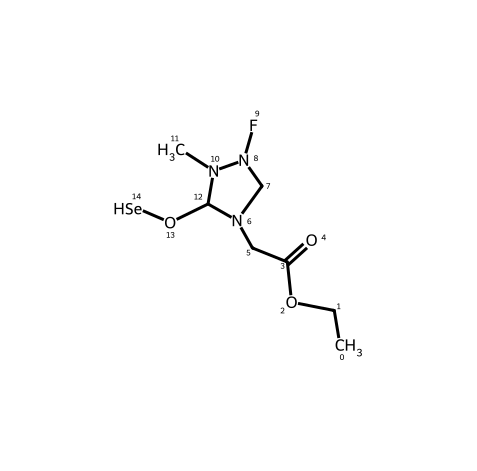 CCOC(=O)CN1CN(F)N(C)C1O[SeH]